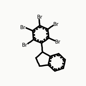 Brc1c(Br)c(Br)c(C2CCc3ccccc32)c(Br)c1Br